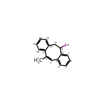 C/C1=C/c2ccccc2C(I)Cc2ccccc21